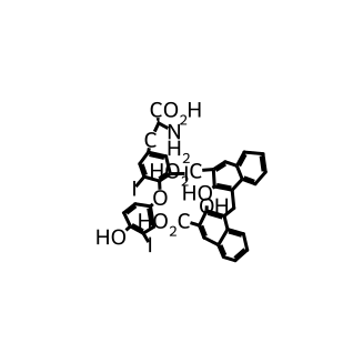 N[C@@H](Cc1cc(I)c(Oc2ccc(O)c(I)c2)c(I)c1)C(=O)O.O=C(O)c1cc2ccccc2c(Cc2c(O)c(C(=O)O)cc3ccccc23)c1O